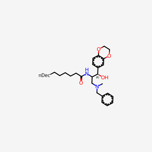 CCCCCCCCCCCCCCCC(=O)NC(CN(C)Cc1ccccc1)[C@H](O)c1ccc2c(c1)OCCO2